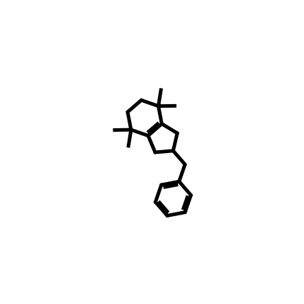 CC1(C)CCC(C)(C)C2=C1CC(Cc1ccccc1)C2